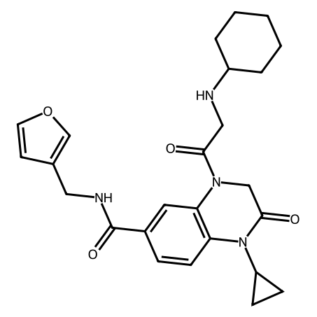 O=C(NCc1ccoc1)c1ccc2c(c1)N(C(=O)CNC1CCCCC1)CC(=O)N2C1CC1